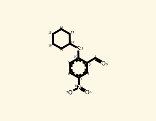 O=Cc1cc([N+](=O)[O-])ccc1SC1CCCCC1